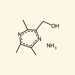 Cc1nc(C)c(CO)nc1C.N